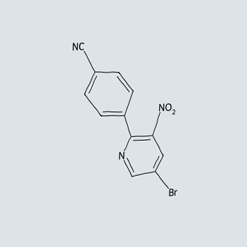 N#Cc1ccc(-c2ncc(Br)cc2[N+](=O)[O-])cc1